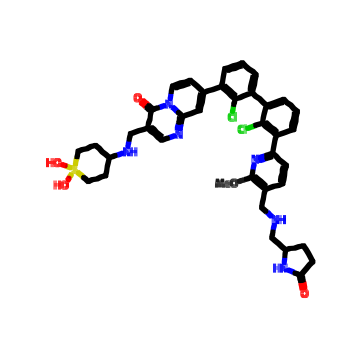 COc1nc(-c2cccc(-c3cccc(-c4ccn5c(=O)c(CNC6CCS(O)(O)CC6)cnc5c4)c3Cl)c2Cl)ccc1CNCC1CCC(=O)N1